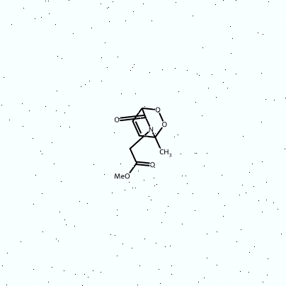 COC(=O)CN1C(=O)C2C=CC1(C)OO2